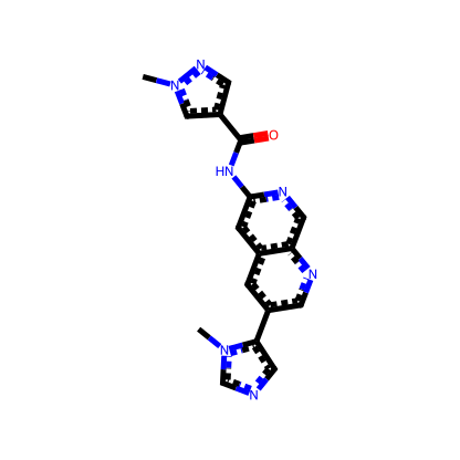 Cn1cc(C(=O)Nc2cc3cc(-c4cncn4C)cnc3cn2)cn1